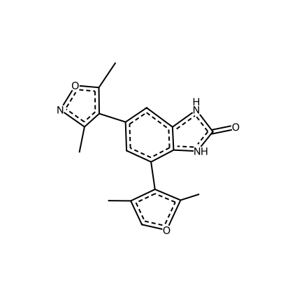 Cc1coc(C)c1-c1cc(-c2c(C)noc2C)cc2[nH]c(=O)[nH]c12